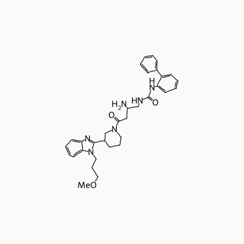 COCCCn1c(C2CCCN(C(=O)CC(N)CNC(=O)Nc3ccccc3-c3ccccc3)C2)nc2ccccc21